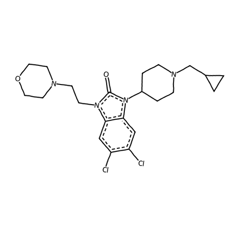 O=c1n(CCN2CCOCC2)c2cc(Cl)c(Cl)cc2n1C1CCN(CC2CC2)CC1